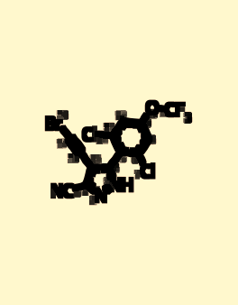 N#Cc1n[nH]c(-c2c(Cl)cc(OC(F)(F)F)cc2Cl)c1C#CBr